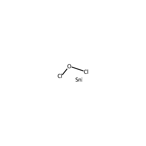 ClOCl.[Sn]